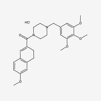 COc1ccc2c(c1)CCC(C(=O)N1CCN(Cc3cc(OC)c(OC)c(OC)c3)CC1)=C2.Cl